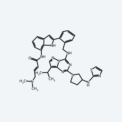 CC(C)c1cnn2c(NCc3ccccc3-c3cc4cccc(NC(=O)/C=C/CN(C)C)c4[nH]3)nc(N3CCC(Nc4nccs4)C3)nc12